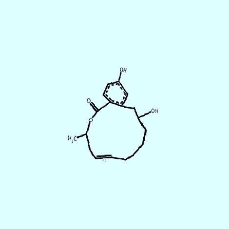 CC1C/C=C/CCCCC(O)Cc2cc(O)ccc2C(=O)O1